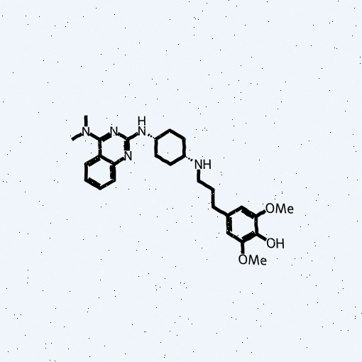 COc1cc(CCCN[C@H]2CC[C@@H](Nc3nc(N(C)C)c4ccccc4n3)CC2)cc(OC)c1O